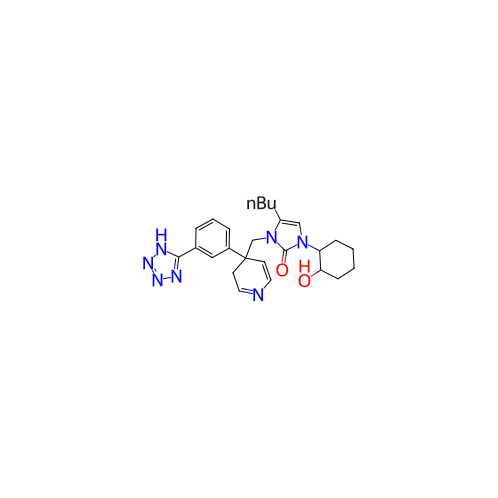 CCCCc1cn(C2CCCCC2O)c(=O)n1CC1(c2cccc(-c3nnn[nH]3)c2)C=CN=CC1